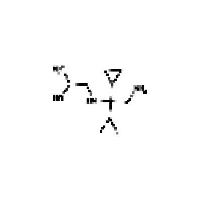 CC(O)CNC(CN)(C1CC1)C1CC1